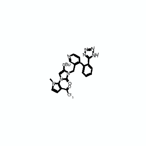 CCCCc1cn(-c2c(C(=O)C(F)(F)F)ccn2C)c(=O)n1Cc1cnccc1-c1ccccc1-c1nnn[nH]1